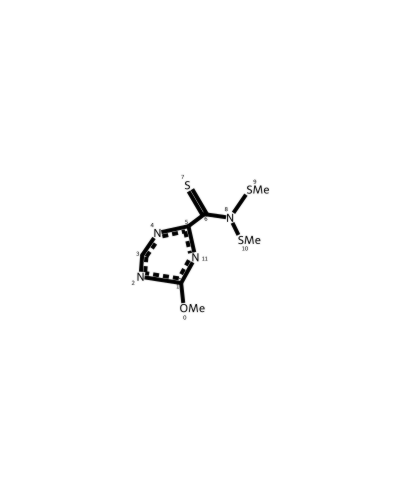 COc1ncnc(C(=S)N(SC)SC)n1